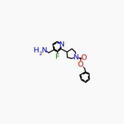 NCc1ccnc(C2CCN(C(=O)OCc3ccccc3)CC2)c1F